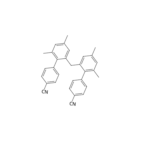 Cc1cc(C)c(-c2ccc(C#N)cc2)c(Cc2cc(C)cc(C)c2-c2ccc(C#N)cc2)c1